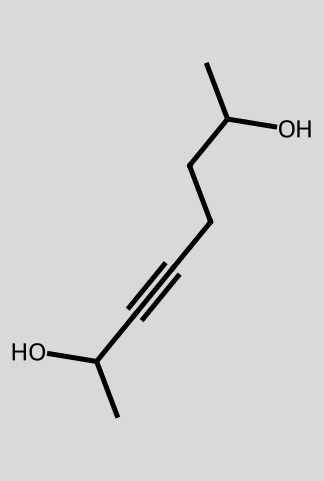 CC(O)C#CCCC(C)O